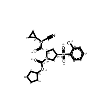 N#CN(C(=O)[C@@H]1C[C@@H](S(=O)(=O)c2ccccc2Cl)CN1C(=O)OC1CCCC1)C1CC1